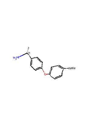 CNc1ccc(Oc2ccc([C@@H](C)N)cc2)cc1